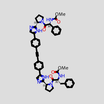 COC(=O)N[C@H](Cc1ccccc1)C(=O)N1CCC[C@H]1c1ncc(-c2ccc(C#Cc3ccc(-c4cnc([C@@H]5CCCN5C(=O)[C@H](NC(=O)OC)c5ccccc5)[nH]4)cc3)cc2)[nH]1